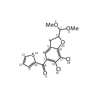 COC(OC)C1Cc2cc(C(=O)c3cccs3)c(Cl)c(Cl)c2O1